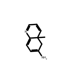 CC12C=CC=NC1=CC=C(N)C2